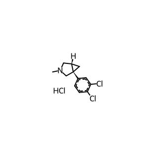 CN1C[C@@H]2C[C@]2(c2ccc(Cl)c(Cl)c2)C1.Cl